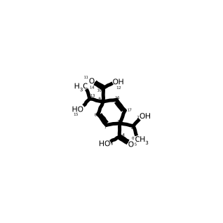 CC(O)C1(C(=O)O)C=CC(C(=O)O)(C(C)O)C=C1